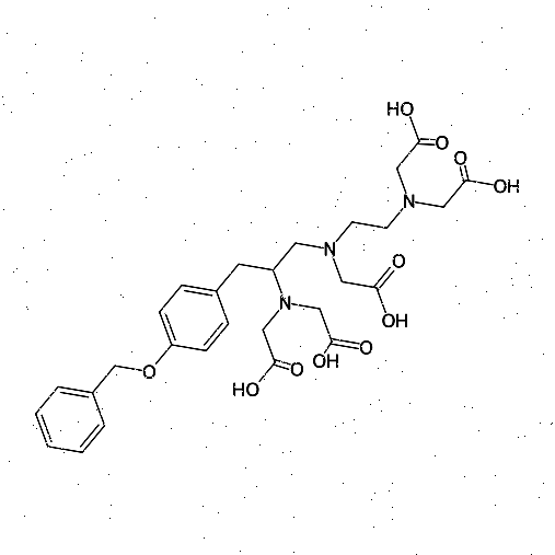 O=C(O)CN(CCN(CC(=O)O)CC(Cc1ccc(OCc2ccccc2)cc1)N(CC(=O)O)CC(=O)O)CC(=O)O